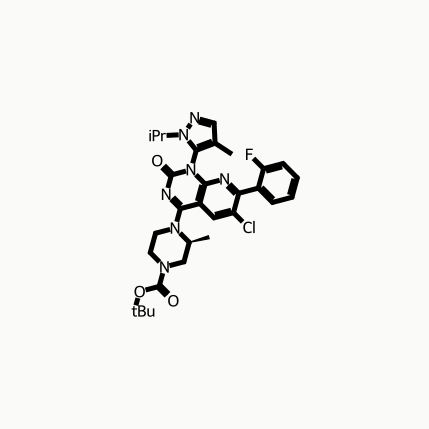 Cc1cnn(C(C)C)c1-n1c(=O)nc(N2CCN(C(=O)OC(C)(C)C)C[C@@H]2C)c2cc(Cl)c(-c3ccccc3F)nc21